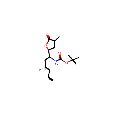 C=CC[C@H](C)CC(NC(=O)OC(C)(C)C)C1CC(C)C(=O)O1